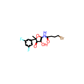 CC1(c2cc(F)cc(F)c2)OC(NC(=O)CCCBr)=C(O)C1=O